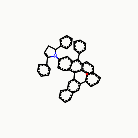 C1=C(c2ccccc2)N(c2ccc3c(-c4cc5ccccc5cc4-c4ccccc4)c4ccccc4c(-c4ccccc4)c3c2)C(c2ccccc2)C1